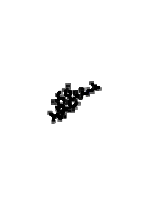 CCC(CO)Nc1cc(NC2CCN(C(=O)OC(=O)/C=C/CN(C)C)C(C3CCNC3)C2)c2ncc(C(C)C)n2n1